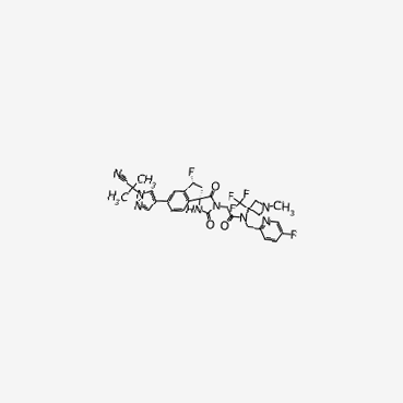 CN1CC(N(Cc2ccc(F)cn2)C(=O)CN2C(=O)N[C@]3(C[C@@H](F)c4cc(-c5cnn(C(C)(C)C#N)c5)ccc43)C2=O)(C(F)(F)F)C1